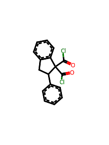 O=C(Cl)C1(C(=O)Cl)c2ccccc2CC1c1ccccc1